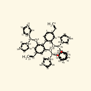 C=Cc1ccc(-c2c(OP(n3ccnc3)n3ccnc3)cc(C=C)cc2OP(n2ccnc2)n2ccnc2)c(OP(n2ccnc2)n2ccnc2)c1